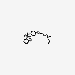 C=CCN(C)CCCCOC1CCC(N(C)S(=O)(=O)c2ccccc2F)CC1